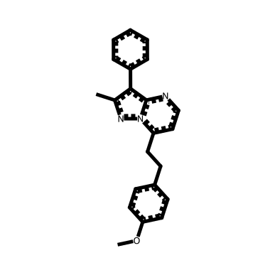 COc1ccc(CCc2ccnc3c(-c4ccccc4)c(C)nn23)cc1